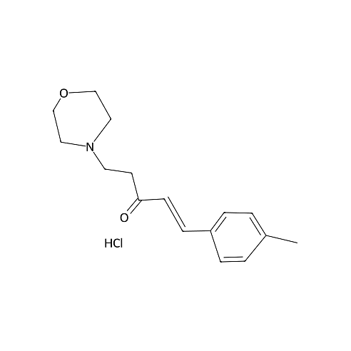 Cc1ccc(C=CC(=O)CCN2CCOCC2)cc1.Cl